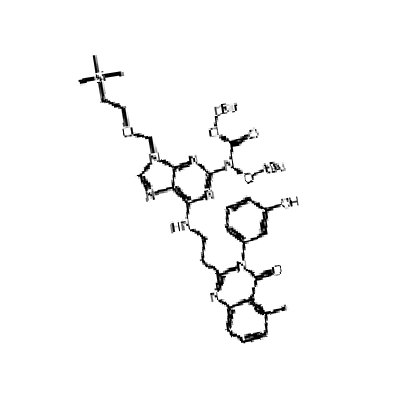 Cc1cccc2nc(CCNc3nc(N(OC(C)(C)C)C(=O)OC(C)(C)C)nc4c3ncn4COCC[Si](C)(C)C)n(-c3cccc(O)c3)c(=O)c12